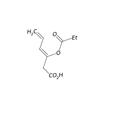 C=CC=C(CC(=O)O)OC(=O)CC